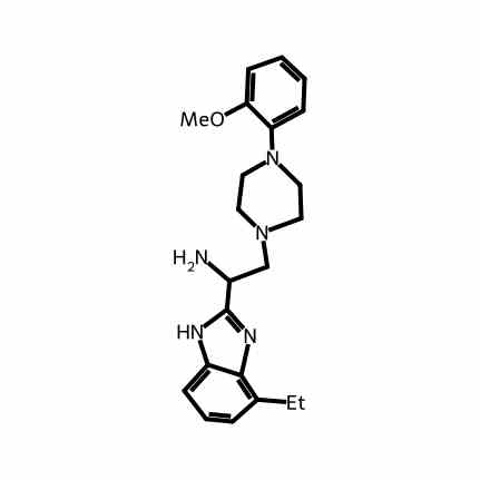 CCc1cccc2[nH]c(C(N)CN3CCN(c4ccccc4OC)CC3)nc12